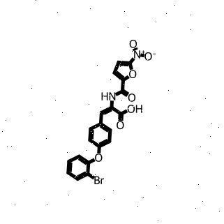 O=C(O)/C(=C\c1ccc(Oc2ccccc2Br)cc1)NC(=O)c1ccc([N+](=O)[O-])o1